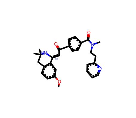 COc1ccc2c(c1)/C(=C/C(=O)c1ccc(C(=O)N(C)CCc3ccccn3)cc1)NC(C)(C)C2